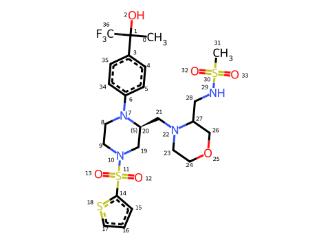 CC(O)(c1ccc(N2CCN(S(=O)(=O)c3cccs3)C[C@@H]2CN2CCOCC2CNS(C)(=O)=O)cc1)C(F)(F)F